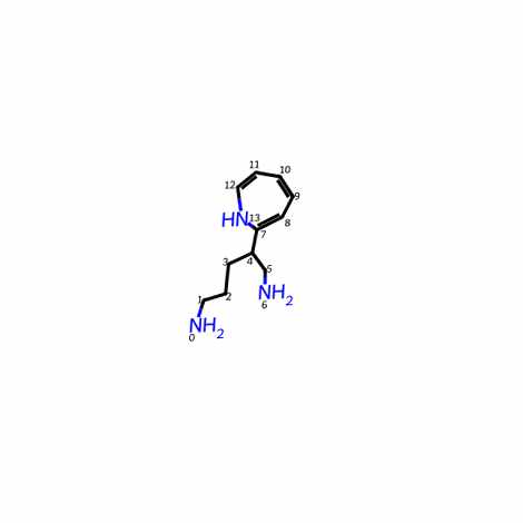 NCCCC(CN)C1=CC=CC=CN1